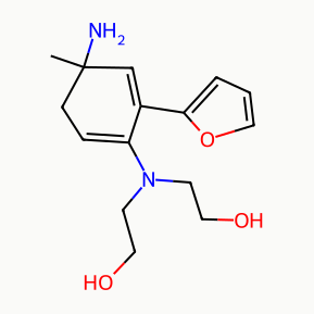 CC1(N)C=C(c2ccco2)C(N(CCO)CCO)=CC1